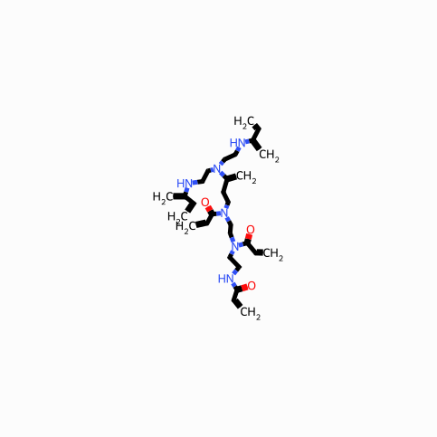 C=CC(=C)NCCN(CCNC(=C)C=C)C(=C)CCN(CCN(CCNC(=O)C=C)C(=O)C=C)C(=O)C=C